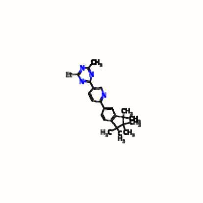 CCc1nc(C)nc(-c2ccc(-c3ccc4c(c3)C(C)(C)C(C)(C)C4(C)C)nc2)n1